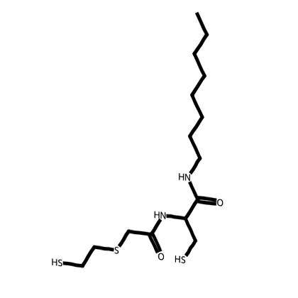 CCCCCCCCNC(=O)C(CS)NC(=O)CSCCS